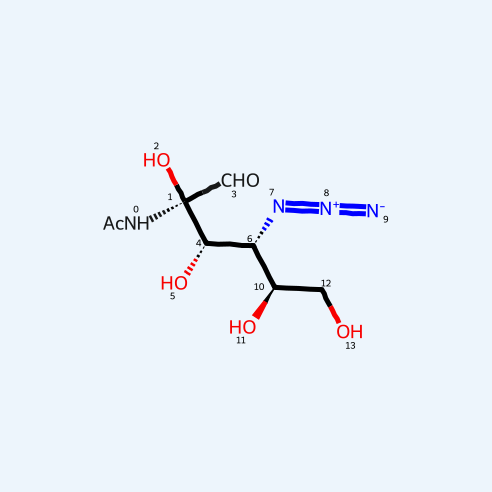 CC(=O)N[C@](O)(C=O)[C@@H](O)[C@H](N=[N+]=[N-])[C@H](O)CO